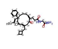 CCCC/C(C)=C/C1(c2ccccc2)CC/C=C(\CC2CCC2)CC(=O)/C(CCC(=O)NCC(N)=O)=C\CCC1